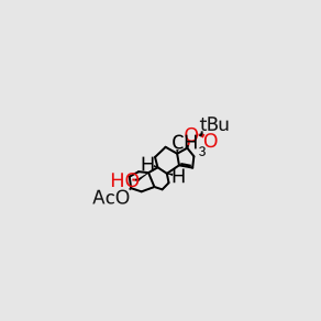 CC(=O)OC1CC[C@@]2(CO)C(CC[C@H]3C4=CCC(OC(=O)C(C)(C)C)[C@@]4(C)CC[C@H]32)C1